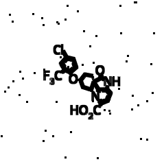 O=C(O)c1ccc2c(n1)[C@]1(CC[C@@H](Oc3ccc(Cl)cc3C(F)(F)F)CC1)C(=O)N2